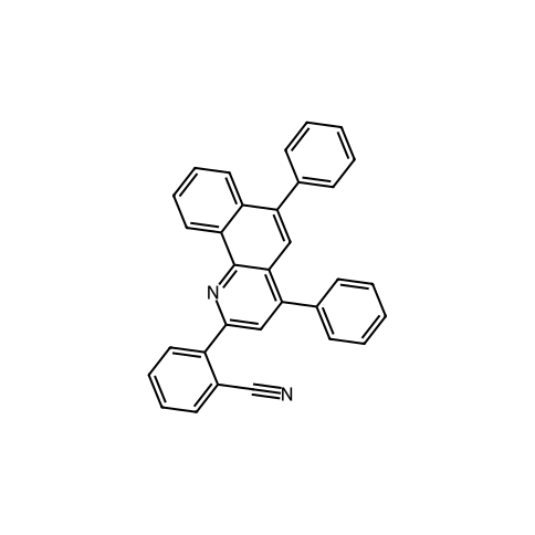 N#Cc1ccccc1-c1cc(-c2ccccc2)c2cc(-c3ccccc3)c3ccccc3c2n1